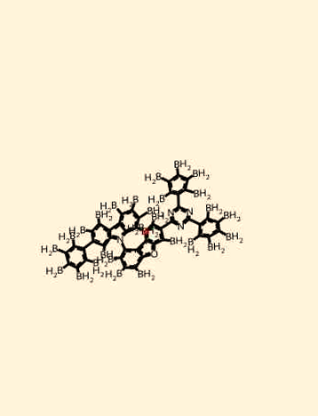 Bc1c(B)c(B)c(-c2nc(-c3c(B)c(B)c(B)c(B)c3B)nc(-c3c(B)c(B)c4c(oc5c(B)c(B)c(B)c(-n6c7c(B)c(B)c(B)c(B)c7c7c(B)c(B)c(-c8c(B)c(B)c(B)c(B)c8B)c(B)c76)c54)c3B)n2)c(B)c1B